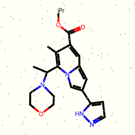 Cc1c(C(=O)OC(C)C)cc2cc(-c3ccn[nH]3)cn2c1C(C)N1CCOCC1